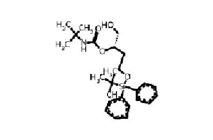 CC(C)(C)NC(=O)O[C@H](CO)CCO[Si](c1ccccc1)(c1ccccc1)C(C)(C)C